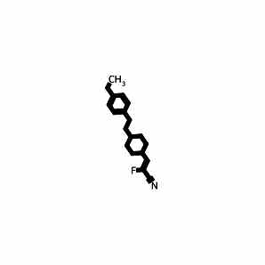 CCc1ccc(CCC2CCC(C=C(F)C#N)CC2)cc1